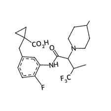 CC1CCN(C(C(=O)Nc2cc(CC3(C(=O)O)CC3)ccc2F)C(C)C(F)(F)F)CC1